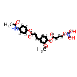 COc1cc(/C=C/C(=O)Oc2ccc(NC(C)=O)cc2)ccc1OC(=O)CCCON(O)O